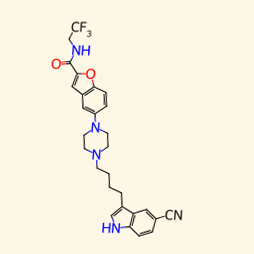 N#Cc1ccc2[nH]cc(CCCCN3CCN(c4ccc5oc(C(=O)NCC(F)(F)F)cc5c4)CC3)c2c1